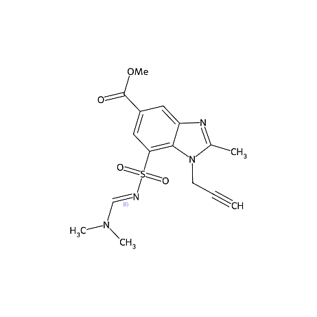 C#CCn1c(C)nc2cc(C(=O)OC)cc(S(=O)(=O)/N=C/N(C)C)c21